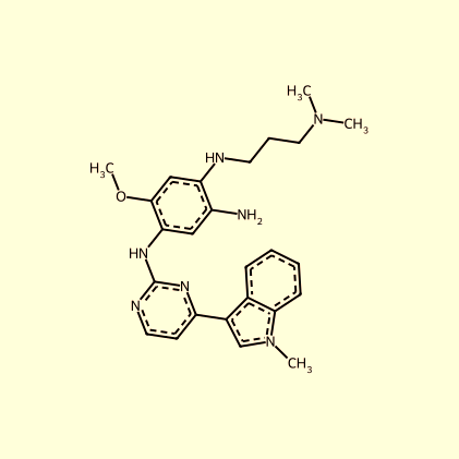 COc1cc(NCCCN(C)C)c(N)cc1Nc1nccc(-c2cn(C)c3ccccc23)n1